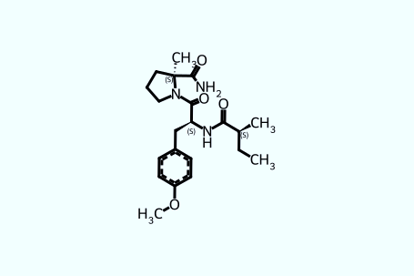 CC[C@H](C)C(=O)N[C@@H](Cc1ccc(OC)cc1)C(=O)N1CCC[C@@]1(C)C(N)=O